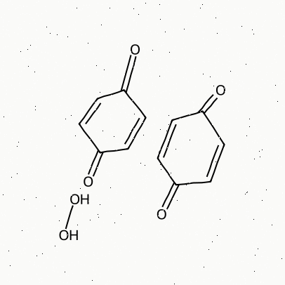 O=C1C=CC(=O)C=C1.O=C1C=CC(=O)C=C1.OO